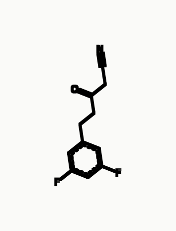 N#CCC(=O)CCc1cc(F)cc(F)c1